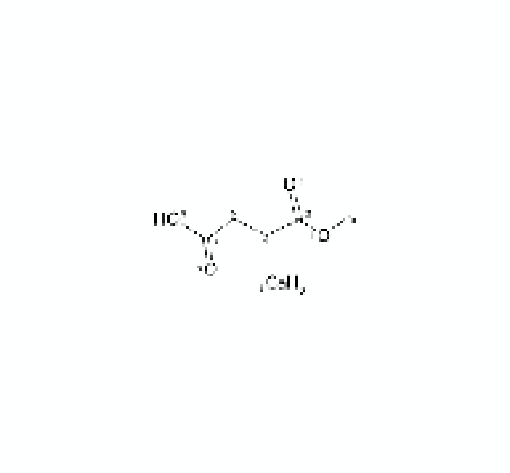 COC(=O)CCC(=O)O.[CaH2]